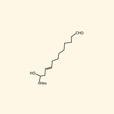 CCCCCCC(O)CC=CCCCCCCCC=O